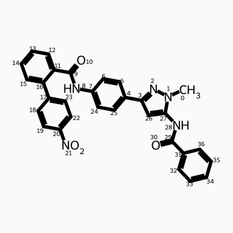 Cn1nc(-c2ccc(NC(=O)c3ccccc3-c3ccc([N+](=O)[O-])cc3)cc2)cc1NC(=O)c1ccccc1